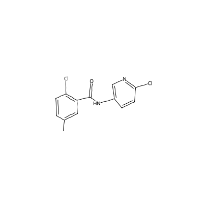 Cc1ccc(Cl)c(C(=O)Nc2ccc(Cl)nc2)c1